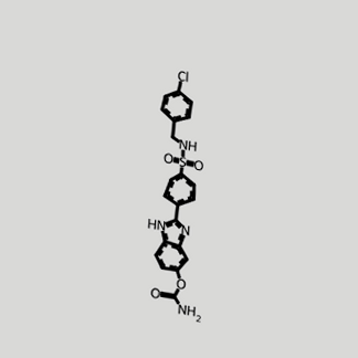 NC(=O)Oc1ccc2[nH]c(-c3ccc(S(=O)(=O)NCc4ccc(Cl)cc4)cc3)nc2c1